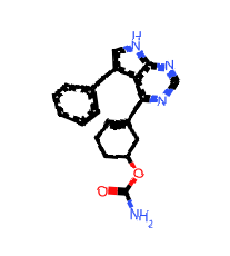 NC(=O)OC1CCC=C(c2ncnc3[nH]cc(-c4ccccc4)c23)C1